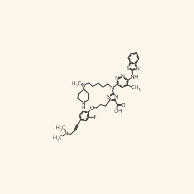 Cc1cc(N(CCCCCN(C)C2CCNCC2)c2nc(C(=O)O)c(CCCOc3ccc(C#CCN(C)C)cc3F)s2)nnc1Nc1nc2ccccc2s1